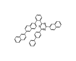 c1ccc(-c2ccc(-c3nc(-c4ccc5ccccc5c4)nc(-c4ccccc4-c4ccc5cc(-c6ccc7ccccc7c6)ccc5c4)n3)cc2)cc1